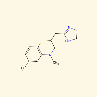 Cc1ccc2c(c1)N(C)CC(CC1=NCCN1)S2